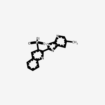 CCS(=O)(=O)c1cc2ccccc2nc1-c1nc2cc(C)cnc2o1